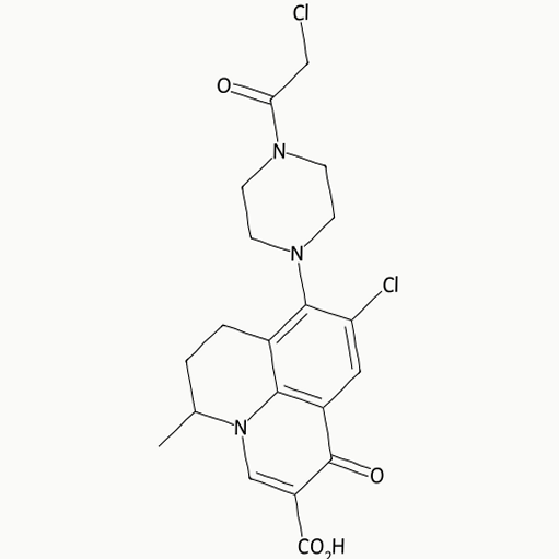 CC1CCc2c(N3CCN(C(=O)CCl)CC3)c(Cl)cc3c(=O)c(C(=O)O)cn1c23